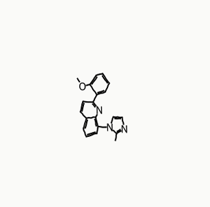 COc1ccccc1-c1ccc2cccc(-n3ccnc3C)c2n1